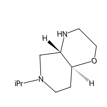 CC(C)N1CC[C@@H]2OCCN[C@H]2C1